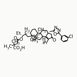 CC[C@H](CC[C@@]1(C)[C@H](C)CC[C@]2(C)[C@@H]1CC[C@@H]1C3=C(C(C)C)C(=O)C[C@]3(Cc3nnc(-c4cccc(Cl)c4)o3)CC[C@]12C)OC(=O)CC(C)(C)C(=O)O